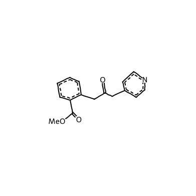 COC(=O)c1ccccc1CC(=O)Cc1ccncc1